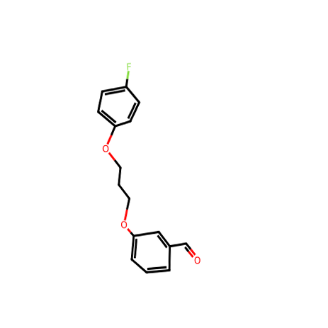 O=Cc1cccc(OCCCOc2ccc(F)cc2)c1